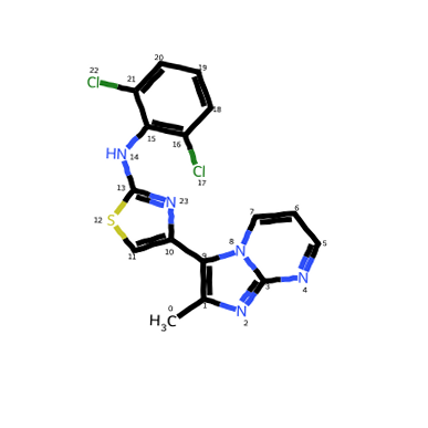 Cc1nc2ncccn2c1-c1csc(Nc2c(Cl)cccc2Cl)n1